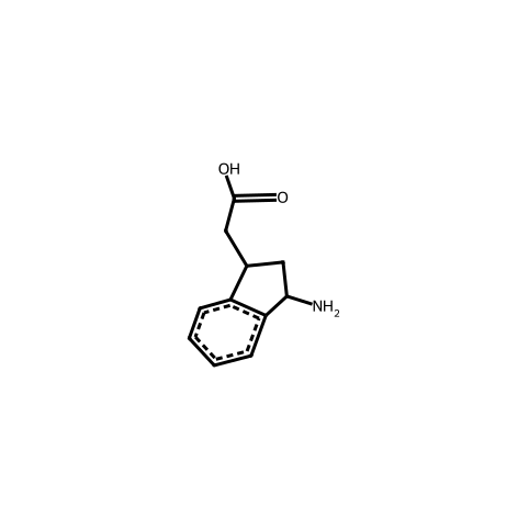 NC1CC(CC(=O)O)c2ccccc21